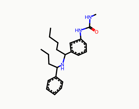 CCCCC(NC(CCC)c1ccccc1)c1cccc(NC(=O)NC)c1